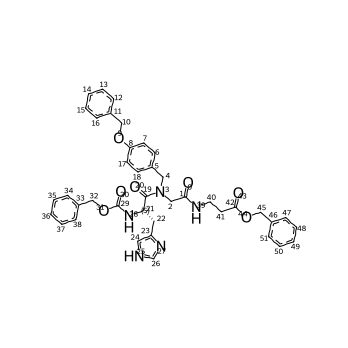 O=C(CN(Cc1ccc(OCc2ccccc2)cc1)C(=O)[C@H](Cc1c[nH]cn1)NC(=O)OCc1ccccc1)NCCC(=O)OCc1ccccc1